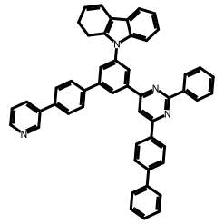 C1=Cc2c(n(-c3cc(-c4ccc(-c5cccnc5)cc4)cc(-c4cc(-c5ccc(-c6ccccc6)cc5)nc(-c5ccccc5)n4)c3)c3ccccc23)CC1